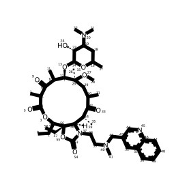 CCC1OC(=O)C(C)C(=O)C(C)[C@@H](OC2OC(C)CC(N(C)C)[C@H]2O)[C@@](C)(OC)CC(C)C(=O)[C@H](C)[C@H]2N(CCN(C)Cc3cnc4ccccc4c3)C(=O)O[C@]12CC